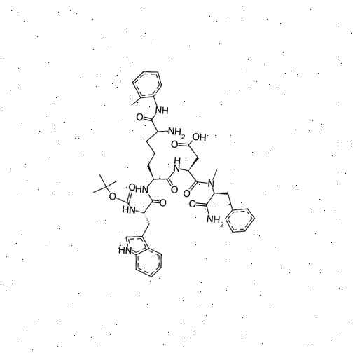 Cc1ccccc1NC(=O)C(N)CCC[C@H](NC(=O)[C@H](Cc1c[nH]c2ccccc12)NC(=O)OC(C)(C)C)C(=O)N[C@@H](CC(=O)O)C(=O)N(C)[C@@H](Cc1ccccc1)C(N)=O